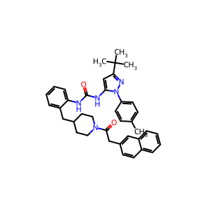 Cc1ccc(-n2nc(C(C)(C)C)cc2NC(=O)Nc2ccccc2CC2CCN(C(=O)Cc3ccc4ccccc4c3)CC2)cc1